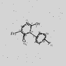 [CH2]Cc1cnc(O)n(-c2ccc(F)cc2)c1=O